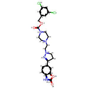 O=C(OCc1cc(Cl)cc(Cl)c1)N1CCN(CCN2CCC(c3ccc4[nH]c(=O)oc4c3)=N2)CC1